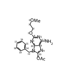 COCCOc1nc(N)c2nc(OC(C)=O)n(Cc3ccccc3)c2n1